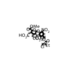 CCN(CCl)C(=O)OCc1ccc(O[C@@H]2O[C@H](C(=O)OC)[C@@H](CC(=O)O)[C@H](CC(=O)O)[C@H]2CC(=O)O)c([N+](=O)[O-])c1